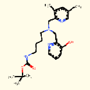 Cc1cnc(CN(CCCCNC(=O)OC(C)(C)C)Cc2ncccc2O)c(C)c1